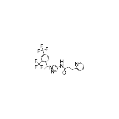 CC(c1ccc(C(F)(F)F)cc1C(F)(F)F)n1cc(NC(=O)CCc2ccccn2)cn1